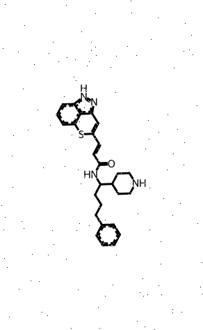 O=C(C=CC1=Cc2n[nH]c3cccc(c23)S1)NC(CCCc1ccccc1)C1CCNCC1